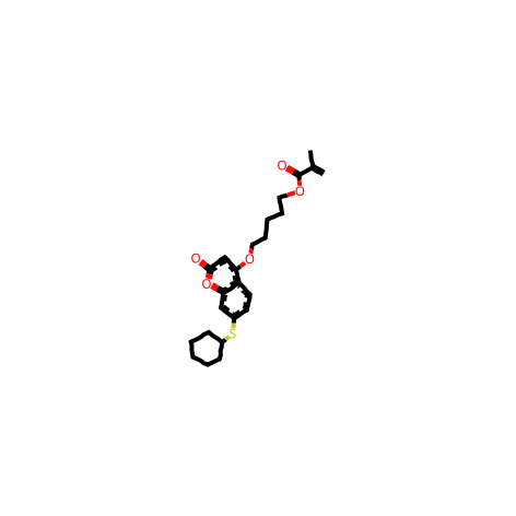 C=C(C)C(=O)OCCCCCOc1cc(=O)oc2cc(SC3CCCCC3)ccc12